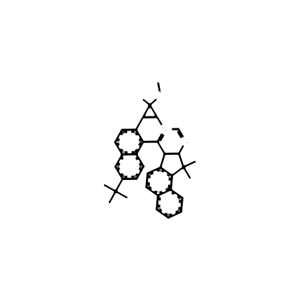 COC1(O)C2c3ccc4cc(C(C)(C)C)ccc4c3C3=[N+](C=NC4C3c3ccc5ccccc5c3C4(C)C)C21